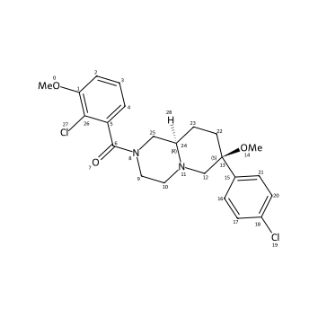 COc1cccc(C(=O)N2CCN3C[C@@](OC)(c4ccc(Cl)cc4)CC[C@@H]3C2)c1Cl